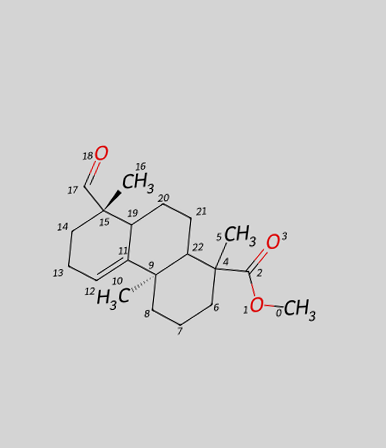 COC(=O)C1(C)CCC[C@@]2(C)C3=CCC[C@](C)(C=O)C3CCC12